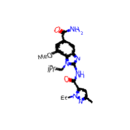 CCn1nc(C)cc1C(=O)Nc1nc2cc(C(N)=O)cc(OC)c2n1CC(C)C